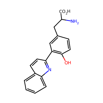 NC(Cc1ccc(O)c(-c2ccc3ccccc3n2)c1)C(=O)O